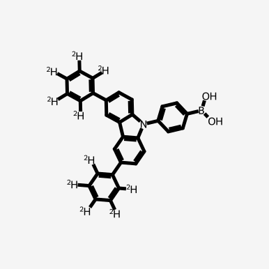 [2H]c1c([2H])c([2H])c(-c2ccc3c(c2)c2cc(-c4c([2H])c([2H])c([2H])c([2H])c4[2H])ccc2n3-c2ccc(B(O)O)cc2)c([2H])c1[2H]